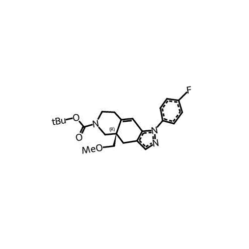 COC[C@]12Cc3cnn(-c4ccc(F)cc4)c3C=C1CCN(C(=O)OC(C)(C)C)C2